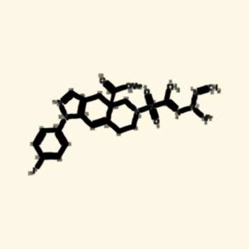 C=NN(CCC)/N=C(\C)S(=O)(=O)N1CCC2=Cc3c(cnn3-c3ccc(F)cc3)C[C@]2(C(=O)OC)C1